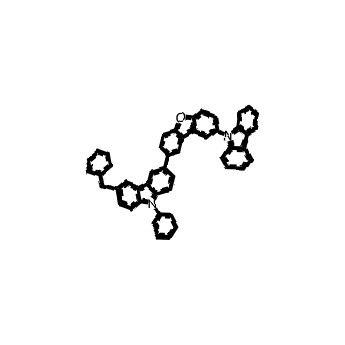 c1ccc(Cc2ccc3c(c2)c2cc(-c4ccc5oc6ccc(-n7c8ccccc8c8ccccc87)cc6c5c4)ccc2n3-c2ccccc2)cc1